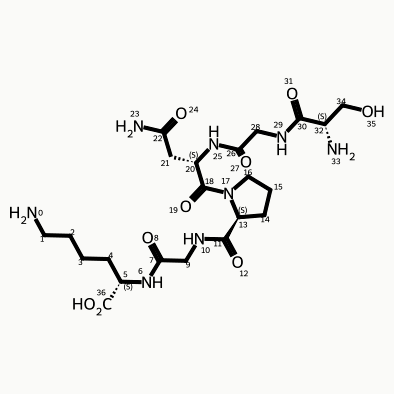 NCCCC[C@H](NC(=O)CNC(=O)[C@@H]1CCCN1C(=O)[C@H](CC(N)=O)NC(=O)CNC(=O)[C@@H](N)CO)C(=O)O